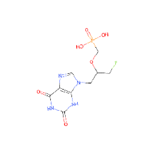 O=c1[nH]c(=O)c2ncn(CC(CF)OCP(=O)(O)O)c2[nH]1